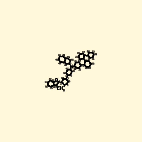 Cc1c(-c2cccc(-c3ccc(N(c4ccc(-c5ccccc5-c5ccccc5-c5ccccc5)cc4)c4ccc5ccccc5c4)cc3)c2)oc2ccccc12